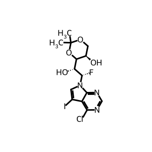 CC1(C)OC[C@@H](O)C([C@@H](O)[C@H](F)n2cc(I)c3c(Cl)ncnc32)O1